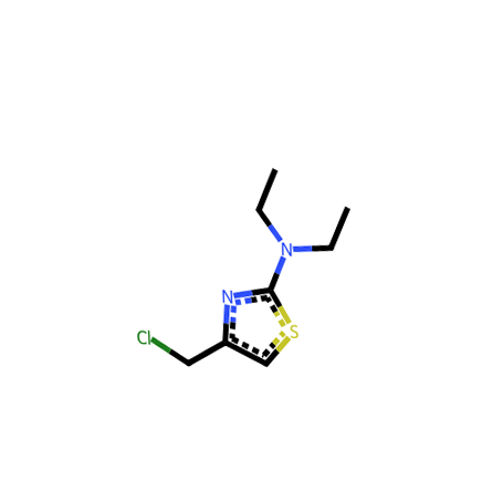 CCN(CC)c1nc(CCl)cs1